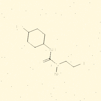 O=NN(CCCl)C(=O)NC1CCC(O)CC1